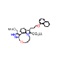 CCOC(=O)c1c(CCCOc2cccc3ccccc23)c2cccc3c2n1CCCCOCc1n[nH]c(COC)c1-3